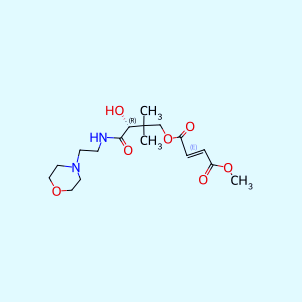 COC(=O)/C=C/C(=O)OCC(C)(C)[C@@H](O)C(=O)NCCN1CCOCC1